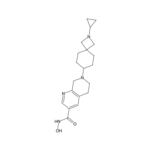 O=C(NO)c1cnc2c(c1)CCN(C1CCC3(CC1)CN(C1CC1)C3)C2